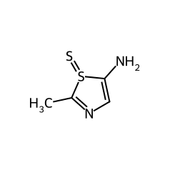 CC1=NC=C(N)S1=S